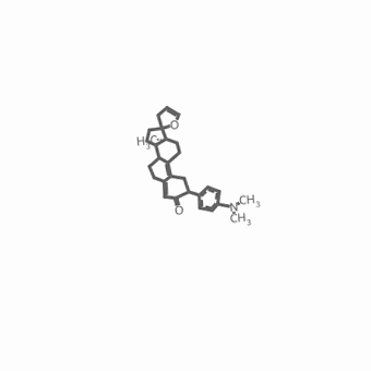 CN(C)c1ccc(C2CC3=C4CC[C@@]5(C)C(CCC56CC=CO6)C4CCC3=CC2=O)cc1